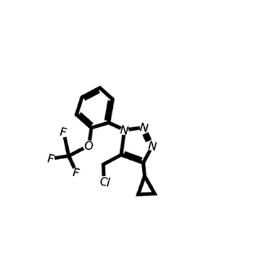 FC(F)(F)Oc1ccccc1-n1nnc(C2CC2)c1CCl